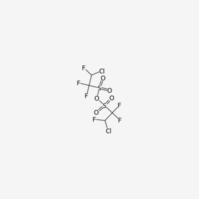 O=S(=O)(OS(=O)(=O)C(F)(F)C(F)Cl)C(F)(F)C(F)Cl